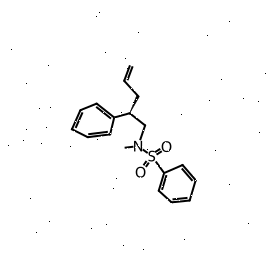 C=CC[C@@H](CN(C)S(=O)(=O)c1ccccc1)c1ccccc1